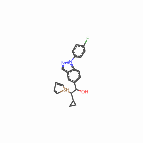 OC(c1ccc2c(cnn2-c2ccc(F)cc2)c1)C(C1CC1)[SH]1C=CC=C1